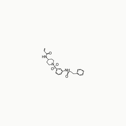 C=CC(=O)NC1CCN(S(=O)(=O)c2cccc(NC(=O)CCc3ccccc3)c2)CC1